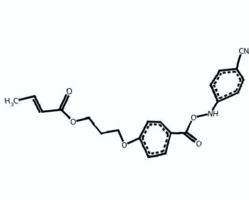 CC=CC(=O)OCCCOc1ccc(C(=O)ONc2ccc(C#N)cc2)cc1